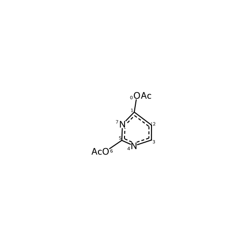 CC(=O)Oc1[c]cnc(OC(C)=O)n1